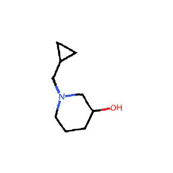 O[C]1CCCN(CC2CC2)C1